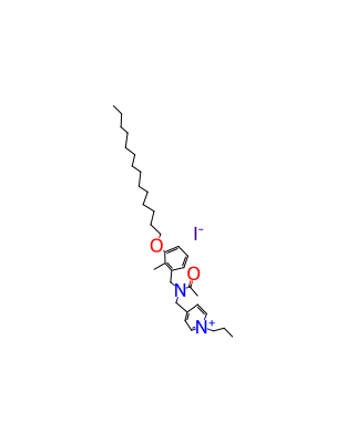 CCCCCCCCCCCCCCOc1cccc(CN(Cc2cc[n+](CCC)cc2)C(C)=O)c1C.[I-]